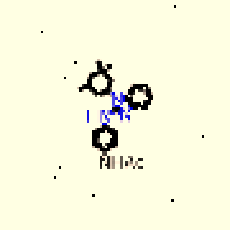 CC(=O)Nc1ccc(Nc2nc3ccccc3n2[C@@H]2CC(C)CC(C)(C)C2)cc1